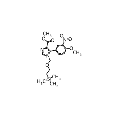 COC(=O)c1ncn(COCC[Si](C)(C)C)c1-c1ccc(OC)c([N+](=O)[O-])c1